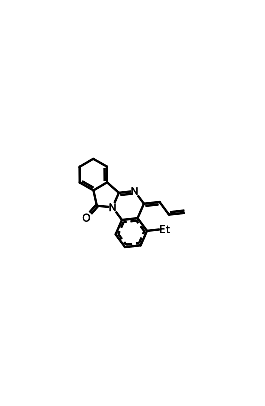 C=C/C=C1/N=C2C3=CCCC=C3C(=O)N2c2cccc(CC)c21